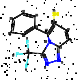 FC(F)(F)c1nnc2ccc(S)c(-c3ccccc3)n12